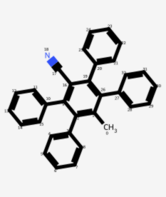 Cc1c(-c2ccccc2)c(-c2ccccc2)c(C#N)c(-c2ccccc2)c1-c1ccccc1